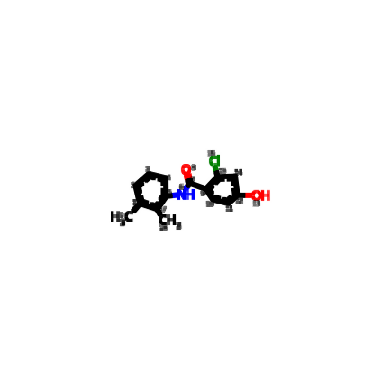 Cc1cccc(NC(=O)c2ccc(O)cc2Cl)c1C